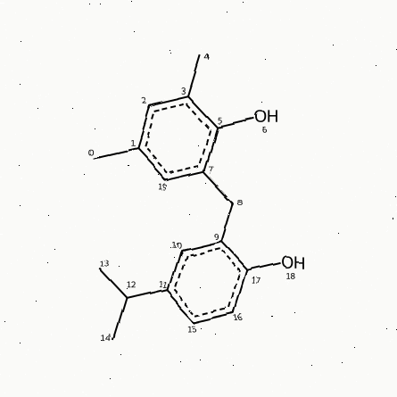 Cc1cc(C)c(O)c(Cc2cc(C(C)C)ccc2O)c1